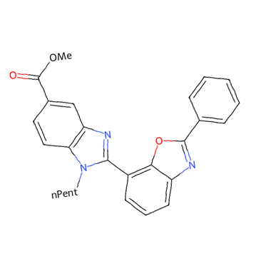 CCCCCn1c(-c2cccc3nc(-c4ccccc4)oc23)nc2cc(C(=O)OC)ccc21